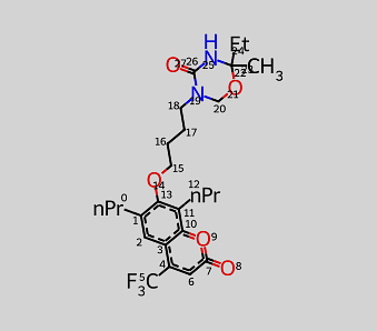 CCCc1cc2c(C(F)(F)F)cc(=O)oc2c(CCC)c1OCCCCN1COC(C)(CC)NC1=O